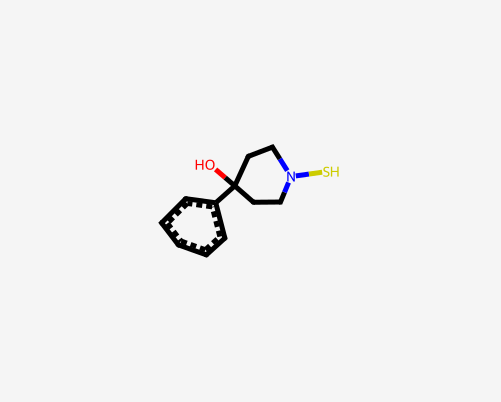 OC1(c2ccccc2)CCN(S)CC1